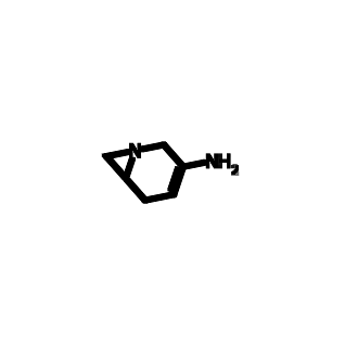 NC1=CCC2CN2C1